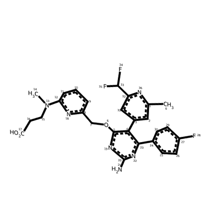 Cc1cc(-c2c(OCc3cccc(N(C)CCC(=O)O)n3)nc(N)nc2-c2ccc(F)cc2)cc(C(F)F)n1